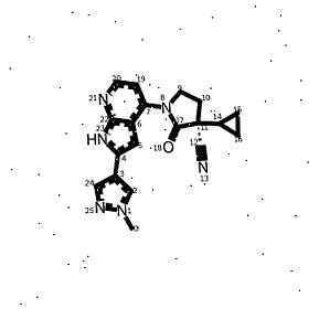 Cn1cc(-c2cc3c(N4CC[C@@](C#N)(C5CC5)C4=O)ccnc3[nH]2)cn1